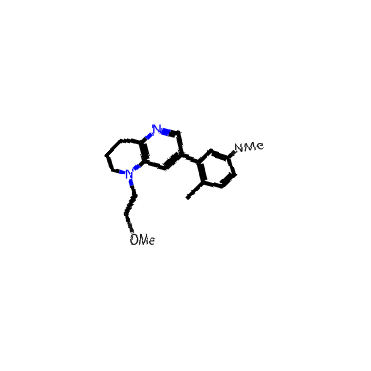 CNc1ccc(C)c(-c2cnc3c(c2)N(CCOC)CCC3)c1